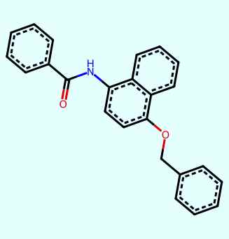 O=C(Nc1ccc(OCc2ccccc2)c2ccccc12)c1ccccc1